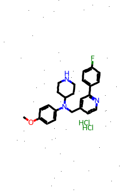 COc1ccc(N(Cc2ccnc(-c3ccc(F)cc3)c2)C2CCNCC2)cc1.Cl.Cl